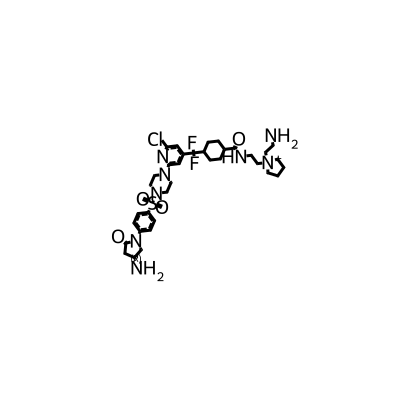 NCC[N+]1(CCNC(=O)C2CCC(C(F)(F)c3cc(Cl)nc(N4CCN(S(=O)(=O)c5ccc(N6C[C@H](N)CC6=O)cc5)CC4)c3)CC2)CCCC1